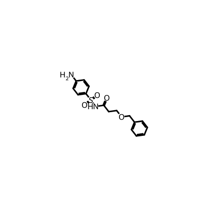 Nc1ccc(S(=O)(=O)NC(=O)CCOCc2ccccc2)cc1